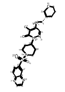 O=c1c(Cl)c(NC[C@H]2CCCOC2)cnn1C1CCN(S(=O)(=O)c2ccc3nccnc3c2)CC1